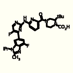 Cc1nc2c(F)cc(-c3nc(Nc4cccc(C(=O)N5CCN(C(=O)O)C(C(C)(C)C)C5)n4)ncc3F)cc2n1C(C)C